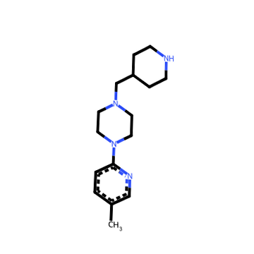 Cc1ccc(N2CCN(CC3CCNCC3)CC2)nc1